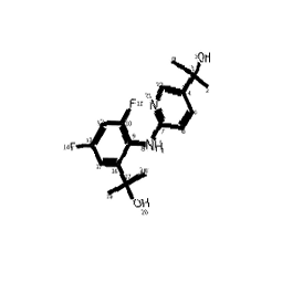 CC(C)(O)c1ccc(Nc2c(F)cc(F)cc2C(C)(C)O)nc1